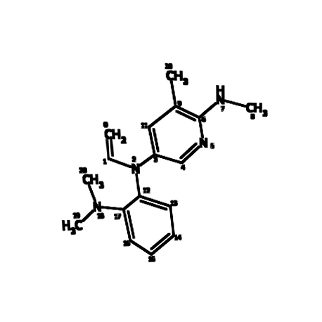 C=CN(c1cnc(NC)c(C)c1)c1ccccc1N(C)C